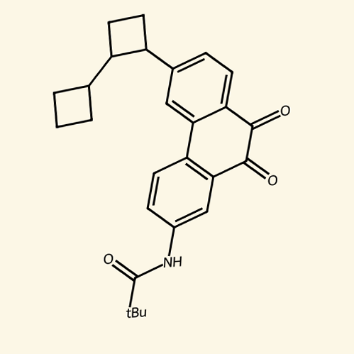 CC(C)(C)C(=O)Nc1ccc2c(c1)C(=O)C(=O)c1ccc(C3CCC3C3CCC3)cc1-2